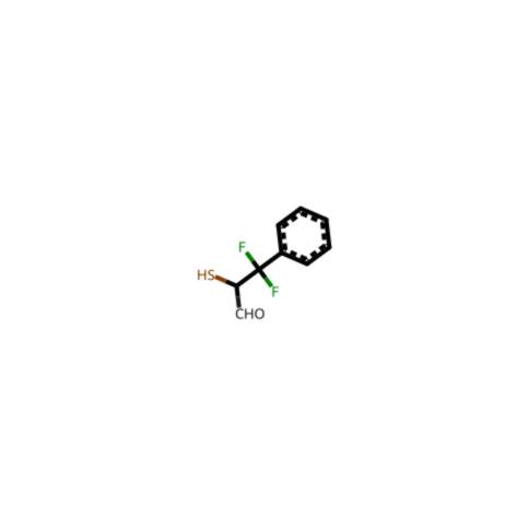 O=CC(S)C(F)(F)c1ccccc1